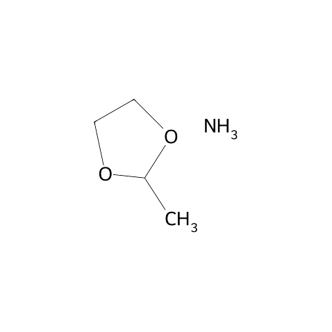 CC1OCCO1.N